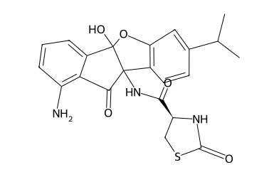 CC(C)c1ccc2c(c1)OC1(O)c3cccc(N)c3C(=O)C21NC(=O)[C@@H]1CSC(=O)N1